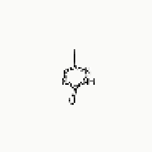 O=c1ncc(I)n[nH]1